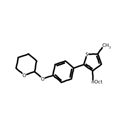 CCCCCCCCc1cc(C)sc1-c1ccc(OC2CCCCO2)cc1